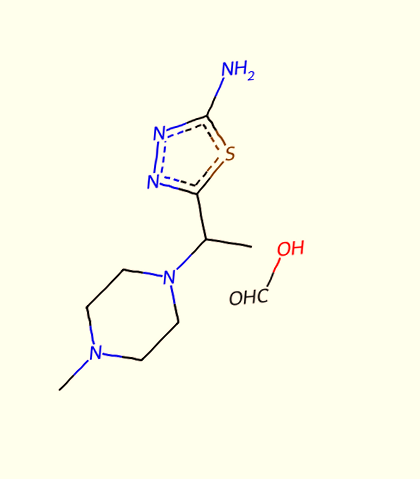 CC(c1nnc(N)s1)N1CCN(C)CC1.O=CO